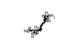 Nc1nc2[nH]c(CCC#Cc3ccc(C(=O)N[C@@H](CCC(=O)O)C(=O)O)o3)cc2c(=O)[nH]1